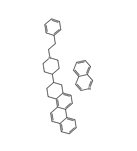 c1ccc(CCN2CCC(C3CCc4c(ccc5c4ccc4ccccc45)C3)CC2)cc1.c1ccc2cnccc2c1